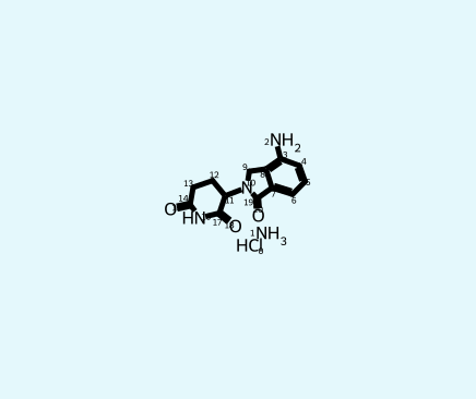 Cl.N.Nc1cccc2c1CN(C1CCC(=O)NC1=O)C2=O